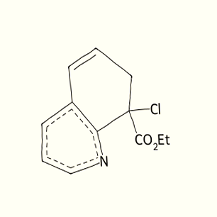 CCOC(=O)C1(Cl)CC=Cc2cccnc21